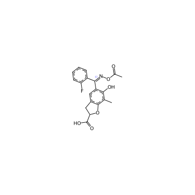 CC(=O)O/N=C(/c1ccccc1F)c1cc2c(c(C)c1O)OC(C(=O)O)C2